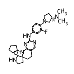 CN(C)[C@H]1CCN(c2ccc(Nc3ncc4c(n3)N(C3CCCC3)C3(CCNC3=O)CC4)cc2F)C1